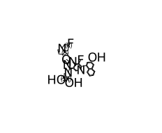 Oc1cc(-c2ncc3c(N4C[C@@H](O)[C@@H](O)C4)nc(OC[C@@]45CCCN4C[C@H](F)C5)nc3c2F)c2ccccc2c1